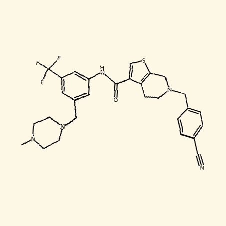 CN1CCN(Cc2cc(NC(=O)c3csc4c3CCN(Cc3ccc(C#N)cc3)C4)cc(C(F)(F)F)c2)CC1